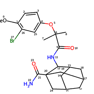 COc1ccc(OC(C)(C)C(=O)NC2C3CC4CC(C3)CC2(C(N)=O)C4)cc1Br